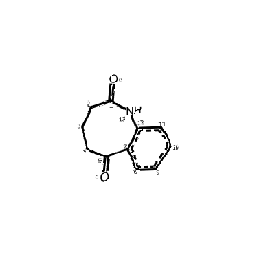 O=C1CCCC(=O)c2ccccc2N1